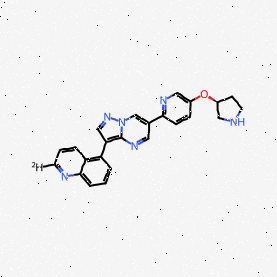 [2H]c1ccc2c(-c3cnn4cc(-c5ccc(O[C@H]6CCNC6)cn5)cnc34)cccc2n1